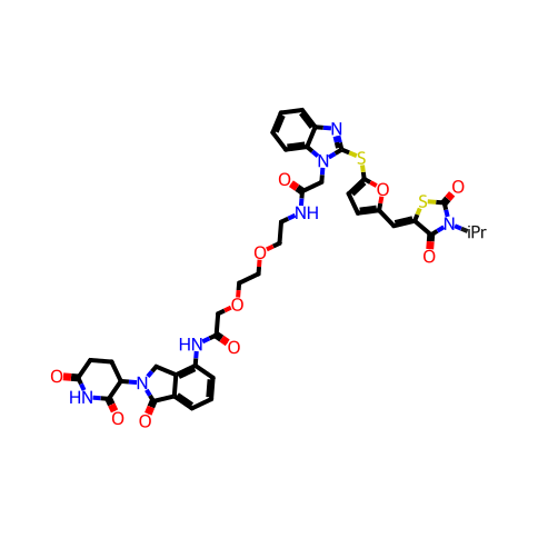 CC(C)N1C(=O)S/C(=C\c2ccc(Sc3nc4ccccc4n3CC(=O)NCCOCCOCC(=O)Nc3cccc4c3CN(C3CCC(=O)NC3=O)C4=O)o2)C1=O